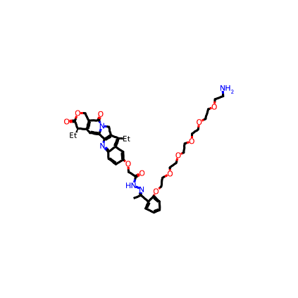 CCc1c2c(nc3ccc(OCC(=O)N/N=C(\C)c4ccccc4OCCOCCOCCOCCOCCOCCN)cc13)-c1cc3c(c(=O)n1C2)COC(=O)[C@@H]3CC